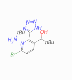 CC(C)(C)N.CCCCC(O)c1ccc(Br)nc1-c1nnn[nH]1